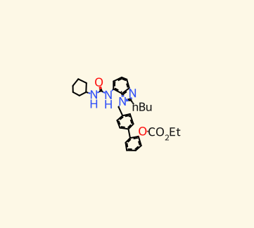 CCCCc1nc2cccc(NC(=O)NC3CCCCC3)c2n1Cc1ccc(-c2ccccc2OC(=O)OCC)cc1